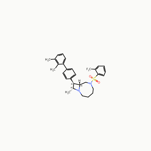 Cc1cccc(-c2ccc([C@@H]3[C@@H](C)N4CCCCN(S(=O)(=O)c5ccccc5C(F)(F)F)C[C@@H]34)cc2)c1C